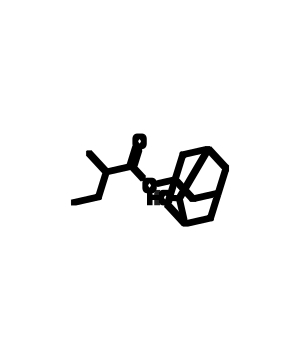 CCC(C)C(=O)OC12CC3CC(C1)C(O)C(C3)C2